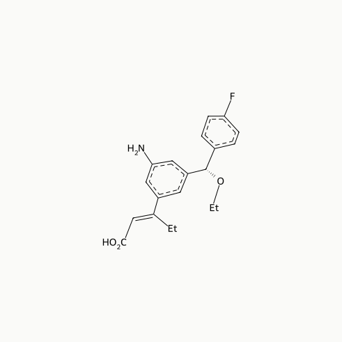 CCO[C@@H](c1ccc(F)cc1)c1cc(N)cc(/C(=C/C(=O)O)CC)c1